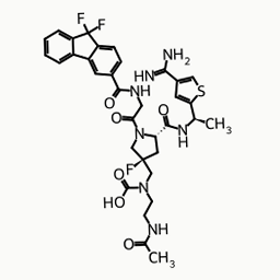 CC(=O)NCCN(C[C@@]1(F)C[C@@H](C(=O)N[C@H](C)c2cc(C(=N)N)cs2)N(C(=O)CNC(=O)c2ccc3c(c2)-c2ccccc2C3(F)F)C1)C(=O)O